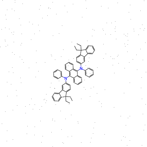 CCC1(CC)c2ccccc2-c2cc(N(c3ccccc3)c3c4ccccc4c(N(c4ccccc4)c4ccc5c(c4)-c4ccccc4C5(CC)CC)c4ccccc34)ccc21